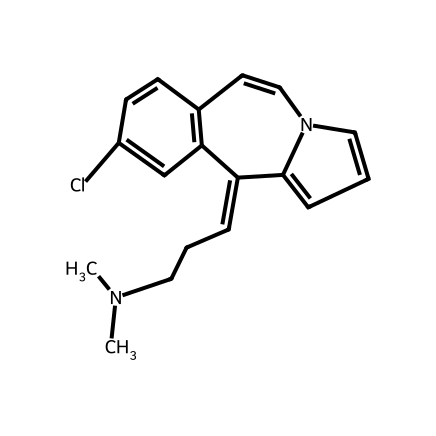 CN(C)CCC=C1c2cc(Cl)ccc2C=Cn2cccc21